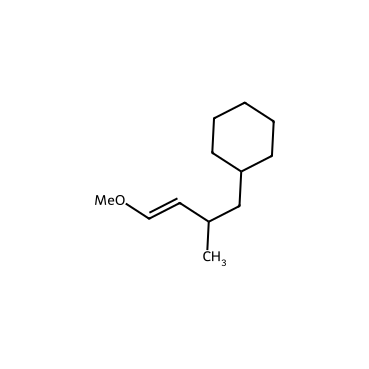 CO/C=C/C(C)CC1CCCCC1